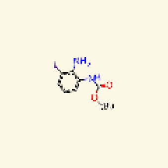 CC(C)(C)OC(=O)Nc1cccc(I)c1N